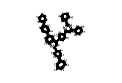 c1ccc(-c2ccc(-c3ccc4nc(-c5ccc(-c6ccccc6)cc5)cc(-c5ccc(-c6cc(-c7ccccc7)nc(-c7ccccc7)n6)cc5)c4c3)cc2)cc1